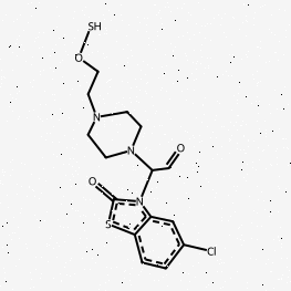 O=CC(N1CCN(CCOS)CC1)n1c(=O)sc2ccc(Cl)cc21